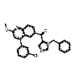 COc1cc(-c2cccc(Cl)c2)c2cc(C(=O)c3cncn3Cc3ccccc3)ccc2n1